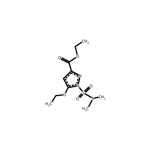 CCOC(=O)c1cc(OCC)n(S(=O)(=O)N(C)C)n1